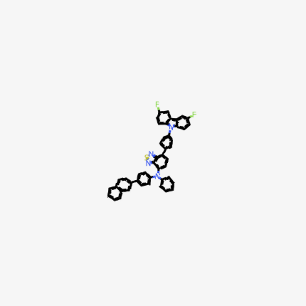 Fc1ccc2c(c1)c1cc(F)ccc1n2-c1ccc(-c2ccc(N(c3ccccc3)c3ccc(-c4ccc5ccccc5c4)cc3)c3nsnc23)cc1